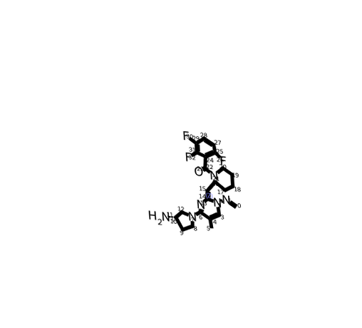 C=NN1C=C(C)C(N2CC[C@H](N)C2)=N/C1=C/C1CCCCN1C(=O)c1c(F)ccc(F)c1F